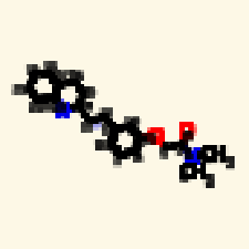 CN(C)C(=O)COc1cccc(/C=C/c2ccc3ccccc3n2)c1